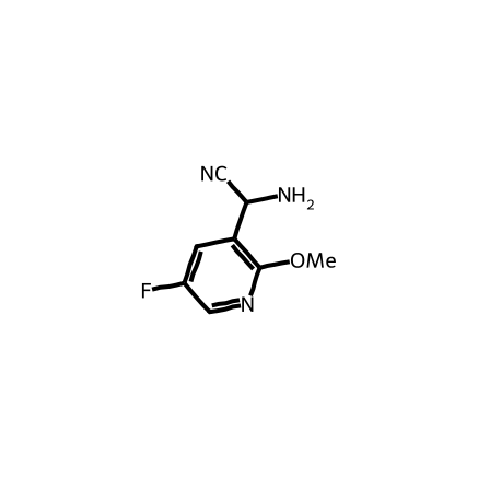 COc1ncc(F)cc1C(N)C#N